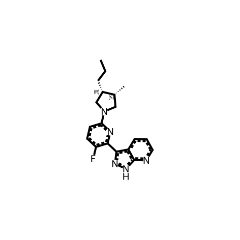 CCC[C@H]1CN(c2ccc(F)c(-c3n[nH]c4ncccc34)n2)C[C@H]1C